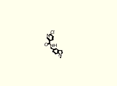 CN1CCc2cc(CNC(=O)c3ccc(Cl)nc3)ccc21